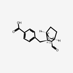 O=C[C@H]1[C@@H](Cc2ccc(C(=O)O)cc2)[C@H]2CC[C@@H]1O2